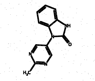 Cc1ncc(-n2c(=O)[nH]c3ccccc32)cn1